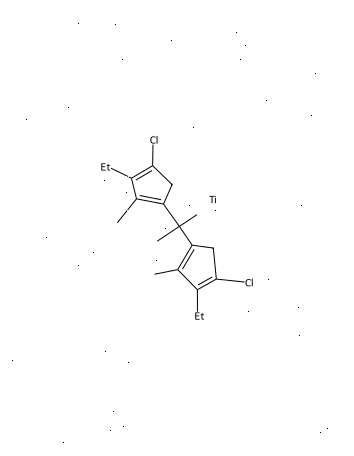 CCC1=C(Cl)CC(C(C)(C)C2=C(C)C(CC)=C(Cl)C2)=C1C.[Ti]